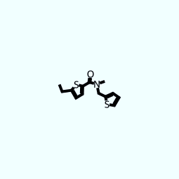 CCc1ccc(C(=O)N(C)Cc2cccs2)s1